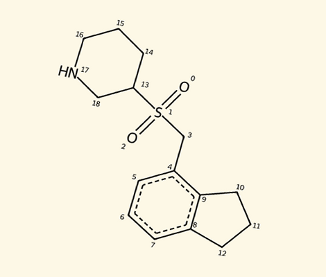 O=S(=O)(Cc1cccc2c1CCC2)C1CCCNC1